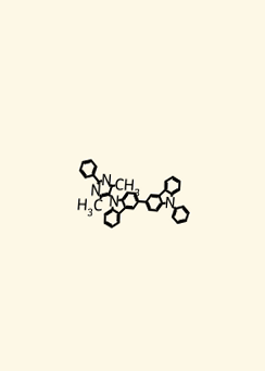 Cc1nc(-c2ccccc2)nc(C)c1-n1c2ccccc2c2cc(-c3ccc4c(c3)c3ccccc3n4-c3ccccc3)ccc21